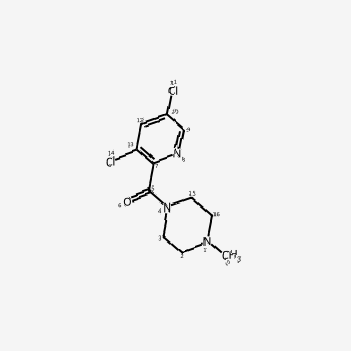 CN1CCN(C(=O)c2ncc(Cl)cc2Cl)CC1